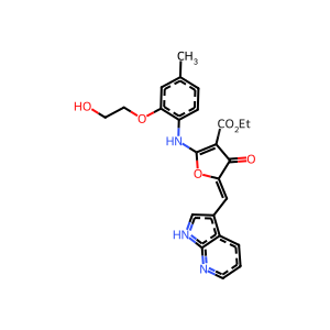 CCOC(=O)C1=C(Nc2ccc(C)cc2OCCO)O/C(=C\c2c[nH]c3ncccc23)C1=O